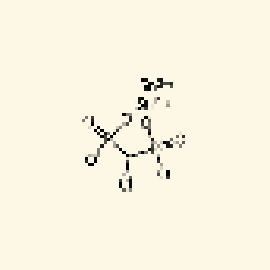 O=P([O-])([O-])C(Cl)P(=O)([O-])[O-].[Sn+2].[Sn+2]